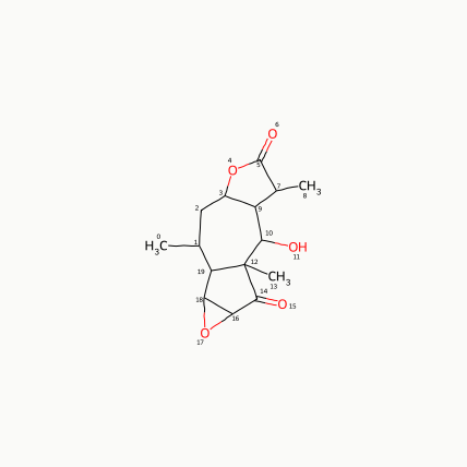 CC1CC2OC(=O)C(C)C2C(O)C2(C)C(=O)C3OC3C12